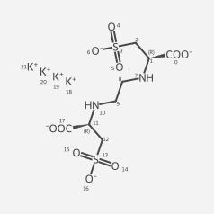 O=C([O-])[C@H](CS(=O)(=O)[O-])NCCN[C@@H](CS(=O)(=O)[O-])C(=O)[O-].[K+].[K+].[K+].[K+]